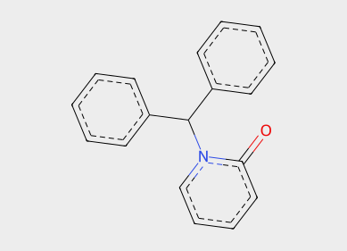 O=c1ccccn1C(c1ccccc1)c1ccccc1